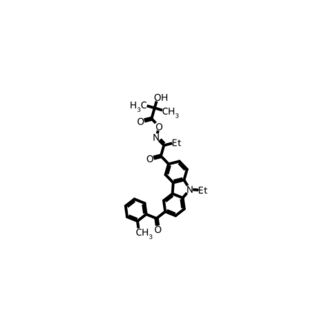 CC/C(=N\OC(=O)C(C)(C)O)C(=O)c1ccc2c(c1)c1cc(C(=O)c3ccccc3C)ccc1n2CC